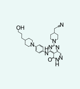 N#CCC1CCN(c2nc(Nc3ccc(N4CCC(CCCO)CC4)cc3)c3c(=O)[nH]ncc3n2)CC1